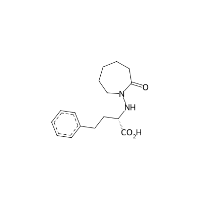 O=C(O)[C@H](CCc1ccccc1)NN1CCCCCC1=O